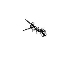 CCCCCCCCCCCC(=O)OCC(CSCCC(=O)Nc1ccc(C(=O)NC(CCC(=O)OC(C)(C)C)C(=O)OC(C)(C)C)cc1)OC(=O)CCCCCCCCCCC